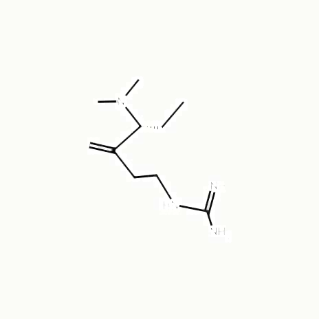 C=C(CCNC(=N)N)[C@@H](CC)N(C)C